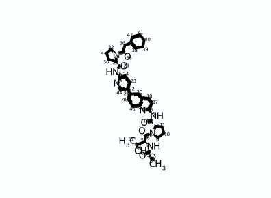 COC(=O)N[C@H](C(=O)N1CCC[C@H]1C(=O)Nc1ccc2cc(-c3ccc(NC(=O)[C@@H]4CCCN4C(=O)CC4=CCCC=C4)nc3)ccc2n1)C(C)C